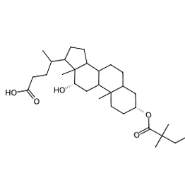 CCC(C)(C)C(=O)O[C@@H]1CCC2(C)C(CCC3C2C[C@H](O)C2(C)C(C(C)CCC(=O)O)CCC32)C1